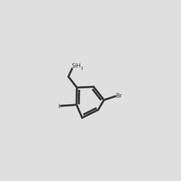 [SiH3]Cc1cc(Br)ccc1I